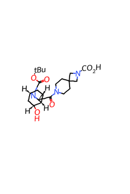 CC(C)(C)OC(=O)N1[C@H]2CC[C@H]([C@H](O)C2)[C@H]1C(=O)N1CCC2(CC1)CN(C(=O)O)C2